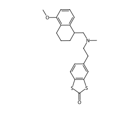 COc1cccc2c1CCCC2CN(C)CCc1ccc2sc(=O)sc2c1